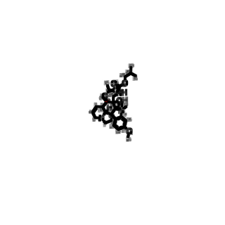 CC[C@]12C=CCN3CC[C@@]4(c5ccc(OC)cc5N(C)[C@H]4C(O)(CNC(=O)OCC(C)C)[C@@H]1OC(C)=O)[C@@H]32